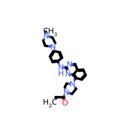 C=CC(=O)N1CCN(c2cccc3cnc(Nc4ccc(N5CCN(C)CC5)cc4)nc23)CC1